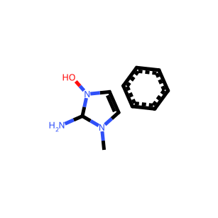 CN1C=CN(O)C1N.c1ccccc1